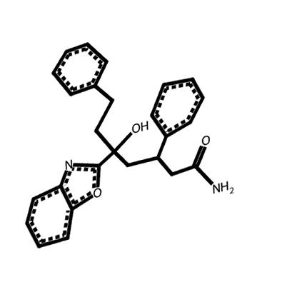 NC(=O)CC(CC(O)(CCc1ccccc1)c1nc2ccccc2o1)c1ccccc1